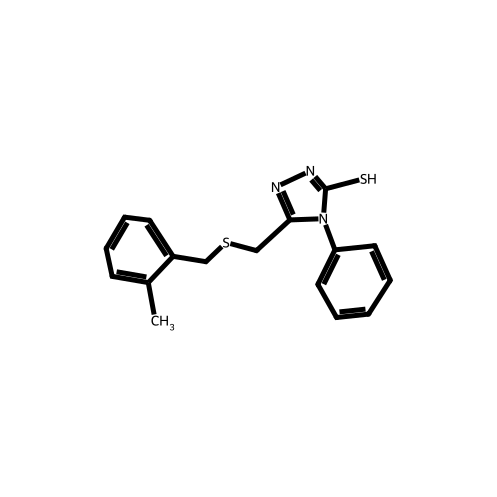 Cc1ccccc1CSCc1nnc(S)n1-c1ccccc1